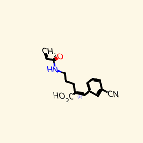 C=CC(=O)NCCC/C(=C\c1cccc(C#N)c1)C(=O)O